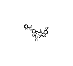 COc1ccc2ncc(N(C)C)c([C@H](F)CCC3(CC(=O)O)CCN(CC(=S)c4ccccn4)CC3)c2c1